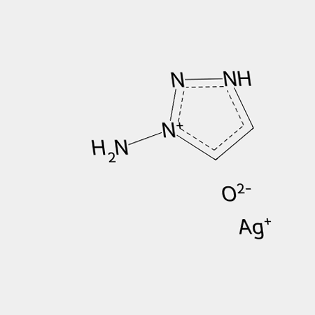 N[n+]1cc[nH]n1.[Ag+].[O-2]